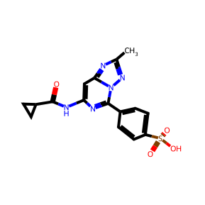 Cc1nc2cc(NC(=O)C3CC3)nc(-c3ccc(S(=O)(=O)O)cc3)n2n1